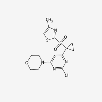 Cc1csc(S(=O)(=O)C2(c3cc(N4CCOCC4)nc(Cl)n3)CC2)n1